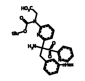 CCCCCCc1cccc(CC(N)(c2cccc(N(CC(=O)O)C(=O)OC(C)(C)C)n2)S(=O)(=O)c2ccccn2)c1